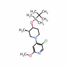 COc1cc(N2CC[C@H](O[Si](C)(C)C(C)(C)C)[C@H](C)C2)c(Cl)cn1